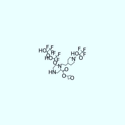 CN1CCC(CCN2CCNCC2C(=O)OC2COC2)CC1.O=C(O)C(F)(F)F.O=C(O)C(F)(F)F.O=C(O)C(F)(F)F